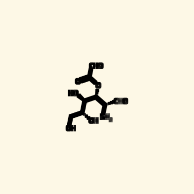 N[C@@H](C=O)[C@@H](OC(=O)C=O)[C@H](O)[C@H](O)CO